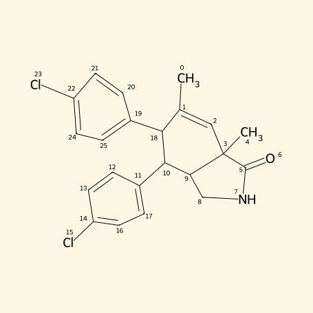 CC1=CC2(C)C(=O)NCC2C(c2ccc(Cl)cc2)C1c1ccc(Cl)cc1